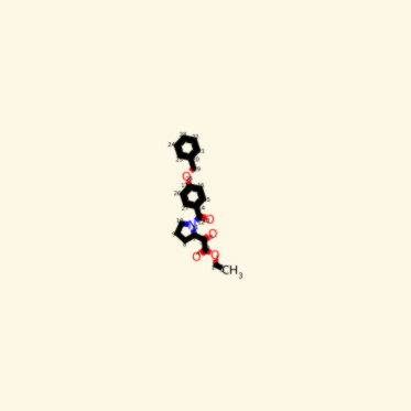 CCOC(=O)C(=O)C1CCCN1C(=O)c1ccc(OCc2ccccc2)cc1